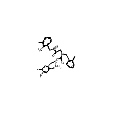 Cc1ccccc1CN(CC(=O)NCc1cccc(C)c1C(F)(F)F)C(=O)C[C@H](N)Cc1cc(F)c(F)cc1F